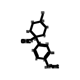 CCCCCc1ccc(C2(C=O)CCC(C)CC2)cc1